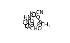 CN(C)CCOc1cc(NC(=O)N2CCCc3ccc(C=O)nc32)ncc1C#N